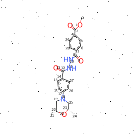 COC(=O)c1ccc(C(=O)NNC(=O)c2ccc(N3C[C@@H](C)O[C@@H](C)C3)cc2)cc1